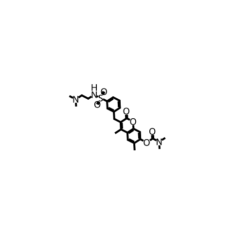 Cc1cc2c(C)c(Cc3cccc(S(=O)(=O)NCCN(C)C)c3)c(=O)oc2cc1OC(=O)N(C)C